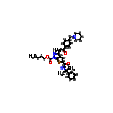 CCCCOC(=O)n1nc([AsH]C(=O)c2ccc(CN3CCCCC3)cc2)c2cc(C(=O)NC(C)(C)c3ccccc3)sc21